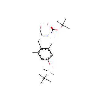 Cc1cc(O[Si](C)(C)C(C)(C)C)cc(C)c1C[C@@H](CO)NC(=O)OC(C)(C)C